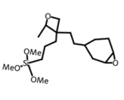 CO[Si](CCCC1(CCC2CCC3OC3C2)COC1C)(OC)OC